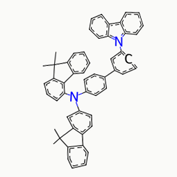 CC1(C)c2ccccc2-c2ccc(N(c3ccc(-c4cccc(-n5c6ccccc6c6ccccc65)c4)cc3)c3cccc4c3-c3ccccc3C4(C)C)cc21